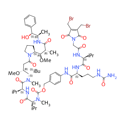 CC[C@H](C)[C@@H]([C@@H](CC(=O)N1CCC[C@H]1[C@H](OC)[C@@H](C)C(=O)N[C@H](C)[C@@H](O)c1ccccc1)OC)N(C)C(=O)[C@@H](NC(=O)[C@H](C(C)C)N(C)C(=O)OCc1ccc(NC(=O)[C@H](CCCNC(N)=O)NC(=O)[C@@H](NC(=O)CN2C(=O)C(CBr)=C(CBr)C2=O)C(C)C)cc1)C(C)C